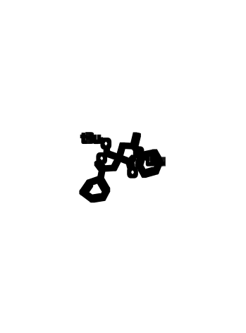 C=C(CC(CC(=C)c1ccccc1)(C(=O)OC(C)(C)C)C(=O)OC(C)(C)C)c1ccccc1